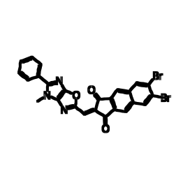 Cn1c(-c2ccccc2)nc2oc(C=C3C(=O)c4cc5cc(Br)c(Br)cc5cc4C3=O)nc21